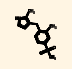 Cc1cc(S(C)(=O)=O)ccc1Cc1cc[nH]c1C